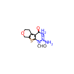 NNN(C=O)c1sc2c(c1C(N)=O)CCOC2